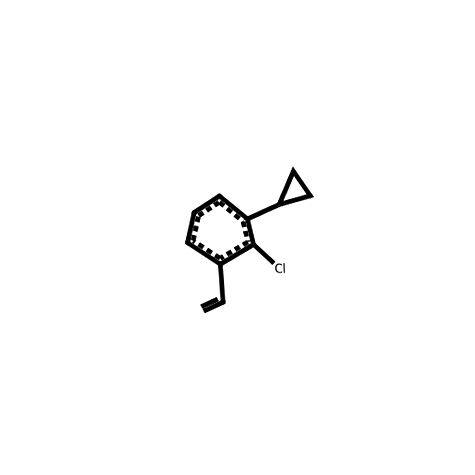 C=Cc1cccc(C2CC2)c1Cl